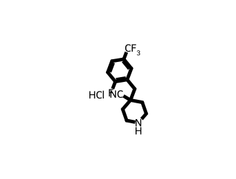 Cl.N#CC1(Cc2cc(C(F)(F)F)ccc2F)CCNCC1